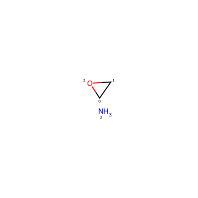 C1CO1.N